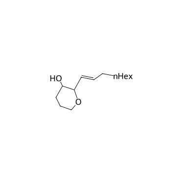 CCCCCCCC=CC1OCCCC1O